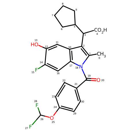 Cc1c(C(C(=O)O)C2CCCC2)c2cc(O)c(F)cc2n1C(=O)c1ccc(OC(F)F)cc1